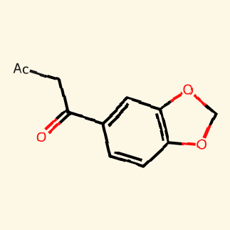 CC(=O)CC(=O)c1ccc2c(c1)OCO2